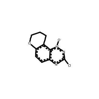 [O-][n+]1nc(Cl)nc2ccc3c(c21)CCCO3